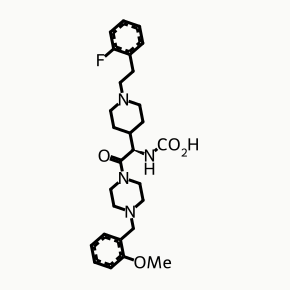 COc1ccccc1CN1CCN(C(=O)[C@H](NC(=O)O)C2CCN(CCc3ccccc3F)CC2)CC1